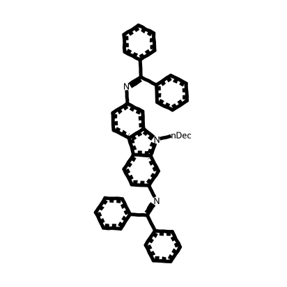 CCCCCCCCCCn1c2cc(N=C(c3ccccc3)c3ccccc3)ccc2c2ccc(N=C(c3ccccc3)c3ccccc3)cc21